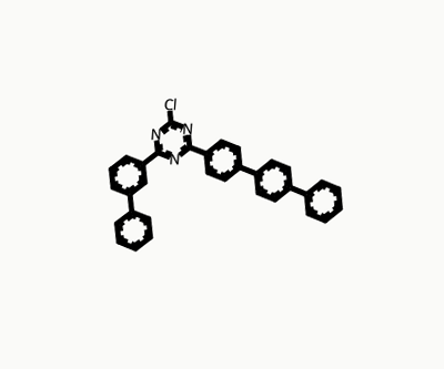 Clc1nc(-c2ccc(-c3ccc(-c4ccccc4)cc3)cc2)nc(-c2cccc(-c3ccccc3)c2)n1